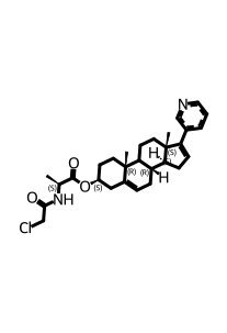 C[C@H](NC(=O)CCl)C(=O)O[C@H]1CC[C@@]2(C)C(=CC[C@@H]3C2CC[C@]2(C)C(c4cccnc4)=CC[C@@H]32)C1